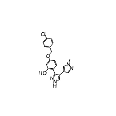 Cn1cc(-c2c[nH]nc2-c2ccc(OCc3ccc(Cl)cc3)cc2O)cn1